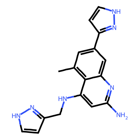 Cc1cc(-c2cc[nH]n2)cc2nc(N)cc(NCc3cc[nH]n3)c12